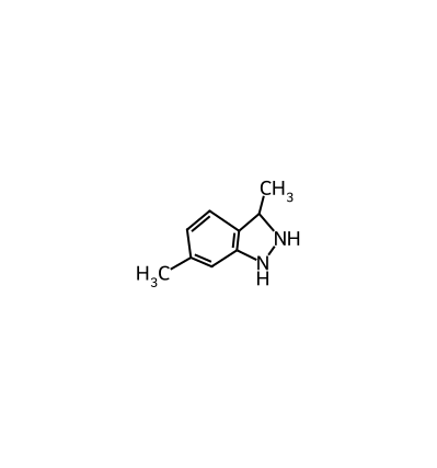 Cc1ccc2c(c1)NNC2C